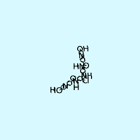 O=C(Nc1ccc(Nc2ccc(NC(=O)c3ccc(N4CCC(O)CC4)cc3)cc2Cl)cc1)c1ccc(N2CCC(O)CC2)cc1